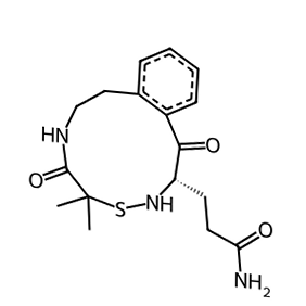 CC1(C)SN[C@@H](CCC(N)=O)C(=O)c2ccccc2CCNC1=O